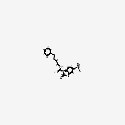 O=C(NCCCCc1ccccc1)n1c(=O)oc2cc([N+](=O)[O-])ccc21